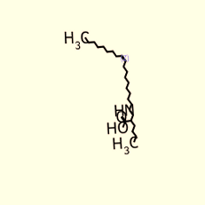 CCCCCCCC/C=C\CCCCCCCCNCC(CCCC)C(=O)O